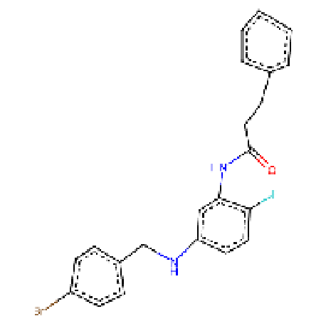 O=C(CCc1ccccc1)Nc1cc(NCc2ccc(Br)cc2)ccc1F